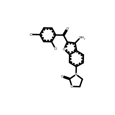 Nc1c(C(=O)c2ccc(Cl)cc2Cl)oc2cc(N3CCOC3=O)ccc12